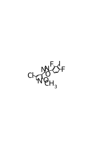 COc1ncc(Cl)cc1-c1nnc(-c2ccc(F)c(I)c2F)o1